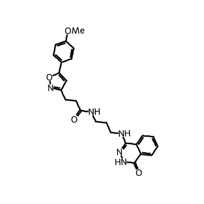 COc1ccc(-c2cc(CCC(=O)NCCCNc3n[nH]c(=O)c4ccccc34)no2)cc1